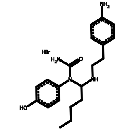 Br.CCCCC(NCCc1ccc(N)cc1)N(C(N)=O)c1ccc(O)cc1